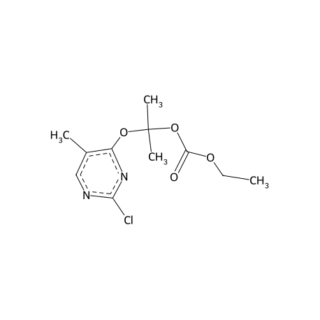 CCOC(=O)OC(C)(C)Oc1nc(Cl)ncc1C